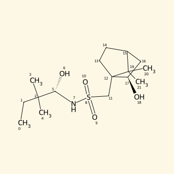 CCC(C)(C)[C@H](O)NS(=O)(=O)CC12CCC(C[C@H]1O)C2(C)C